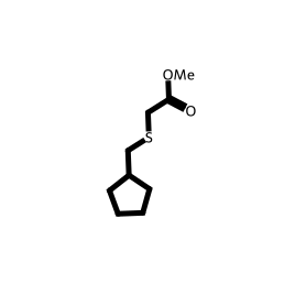 COC(=O)CSCC1CCCC1